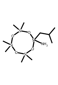 CC(C)C[Si]1(N)O[Si](C)(C)O[Si](C)(C)O[Si](C)(C)O1